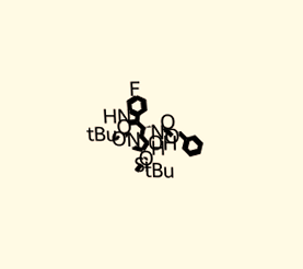 CC(C)(C)OC(=O)N1CC(O[Si](C)(C)C(C)(C)C)C(O)C1[C@@H](CNC(=O)OCc1ccccc1)c1c[nH]c2cc(F)ccc12